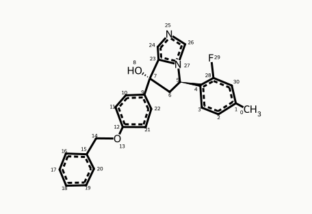 Cc1ccc([C@H]2C[C@@](O)(c3ccc(OCc4ccccc4)cc3)c3cncn32)c(F)c1